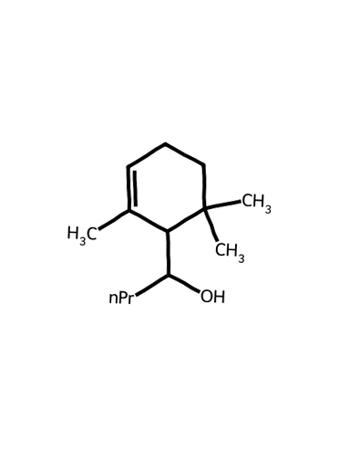 CCCC(O)C1C(C)=CCCC1(C)C